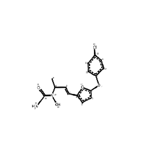 CC(C=Cc1ccc(Oc2ccc(Cl)cc2)o1)N(O)C(N)=O